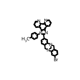 Cc1ccc(-n2c(-c3ccc4c(c3)N3Cc5ccc(Br)cc5N(C4)C3)nc3c4cccnc4c4ncccc4c32)cc1